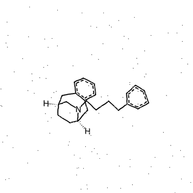 c1ccc(CCCCN2C[C@H]3CC[C@@H]2Cc2ccccc2C3)cc1